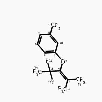 FC(F)(F)C(=C(Oc1cccc(C(F)(F)F)c1)C(F)(F)C(F)(F)F)C(F)(F)F